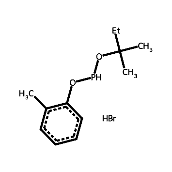 Br.CCC(C)(C)OPOc1ccccc1C